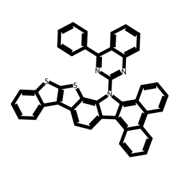 c1ccc(-c2nc(-n3c4c(ccc5c4sc4sc6ccccc6c45)c4c5ccccc5c5ccccc5c43)nc3ccccc23)cc1